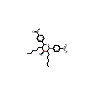 CCCCCC(CCl)C(OC(c1ccc([N+](=O)[O-])cc1)C(CCl)CCCCC)c1ccc([N+](=O)[O-])cc1